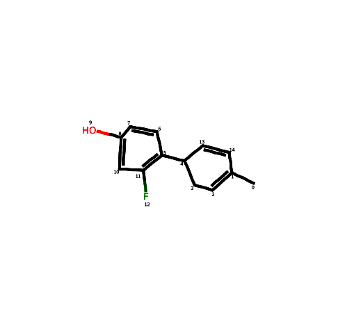 CC1=CCC(c2ccc(O)cc2F)C=C1